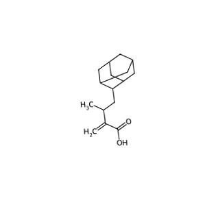 C=C(C(=O)O)C(C)CC1C2CC3CC(C2)CC1C3